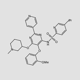 COc1ccccc1Oc1c(NS(=O)(=O)c2ccc(C(C)C)cn2)nc(-c2ccncc2)nc1OC1CCCN(C)C1